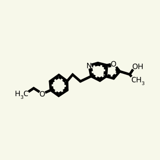 CCOc1ccc(CCc2cc3cc(C(C)O)oc3cn2)cc1